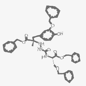 C[C@@](Cc1ccc(O)c(OCc2ccccc2)c1)(NNC(=O)N[C@@H](COCc1ccccc1)C(=O)OCc1ccccc1)C(=O)OCc1ccccc1